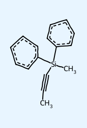 CC#C[Si](C)(c1ccccc1)c1ccccc1